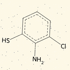 Nc1c(S)cccc1Cl